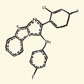 Fc1ccc(Nc2c(C3=CCC(F)C=C3Cl)nc3sc4ccccc4n23)cc1